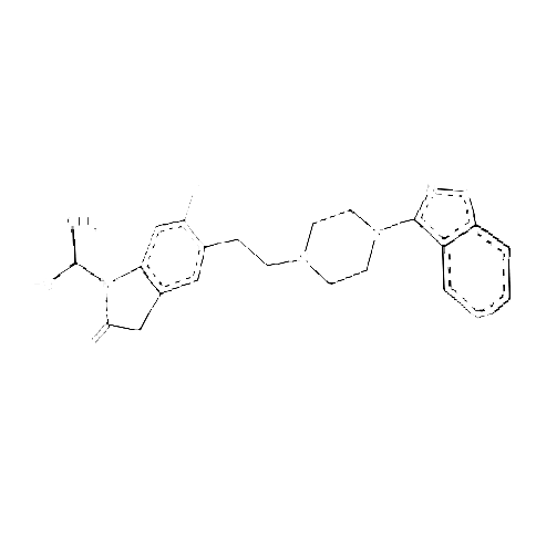 CC(O)N1C(=O)Cc2cc(CCN3CCN(c4nsc5ccccc45)CC3)c(Cl)cc21